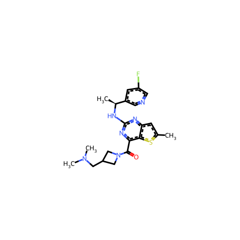 Cc1cc2nc(N[C@@H](C)c3cncc(F)c3)nc(C(=O)N3CC(CN(C)C)C3)c2s1